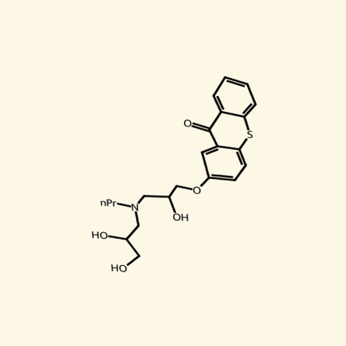 CCCN(CC(O)CO)CC(O)COc1ccc2sc3ccccc3c(=O)c2c1